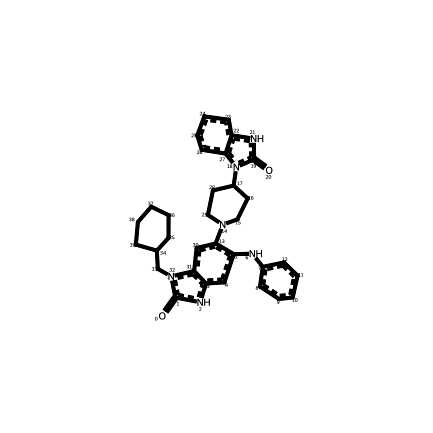 O=c1[nH]c2cc(Nc3ccccc3)c(N3CCC(n4c(=O)[nH]c5ccccc54)CC3)cc2n1CC1CCCCC1